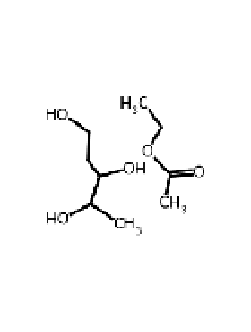 CC(O)C(O)CCO.CCOC(C)=O